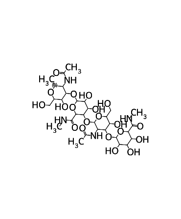 CNC(=O)C1OC(OC2C(O)C(CO)OC(OC3C(C(=O)NC)OC(OC4C(O)C(CO)O[C@H](C)C4NC(C)=O)C(O)C3O)C2NC(C)=O)C(O)C(O)C1O